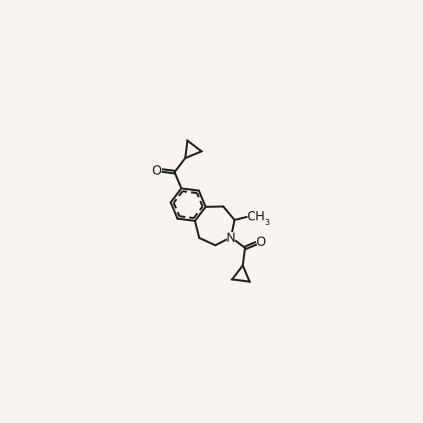 CC1Cc2cc(C(=O)C3CC3)ccc2CCN1C(=O)C1CC1